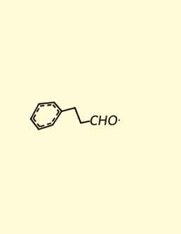 O=[C]CCc1ccccc1